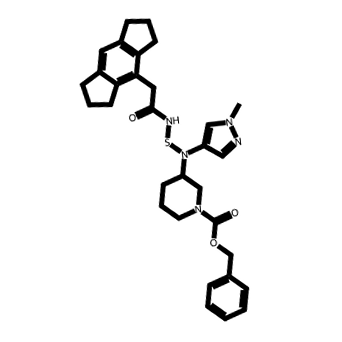 Cn1cc(N(SNC(=O)Cc2c3c(cc4c2CCC4)CCC3)C2CCCN(C(=O)OCc3ccccc3)C2)cn1